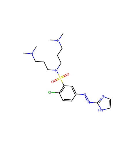 CN(C)CCCN(CCCN(C)C)S(=O)(=O)c1cc(/N=N/c2ncc[nH]2)ccc1Cl